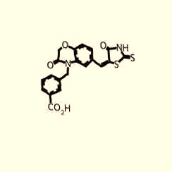 O=C1NC(=S)S/C1=C/c1ccc2c(c1)N(Cc1cccc(C(=O)O)c1)C(=O)CO2